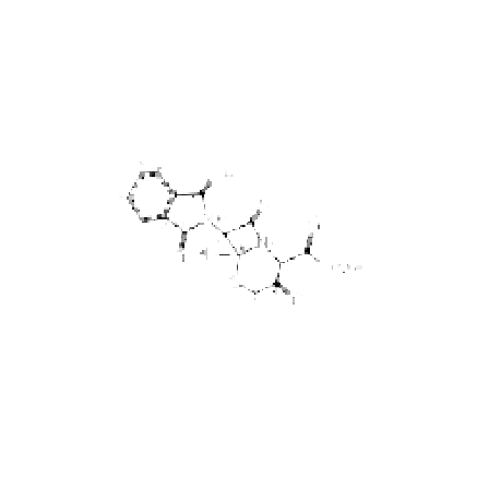 COC(=O)C1C(=O)CS[C@@H]2C(N3C(=O)c4ccccc4C3=O)C(=O)N12